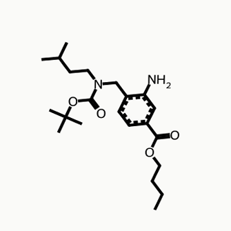 CCCCOC(=O)c1ccc(CN(CCC(C)C)C(=O)OC(C)(C)C)c(N)c1